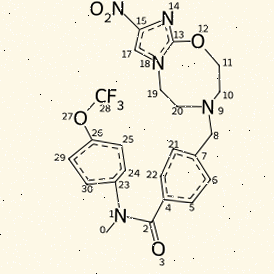 CN(C(=O)c1ccc(CN2CCOc3nc([N+](=O)[O-])cn3CC2)cc1)c1ccc(OC(F)(F)F)cc1